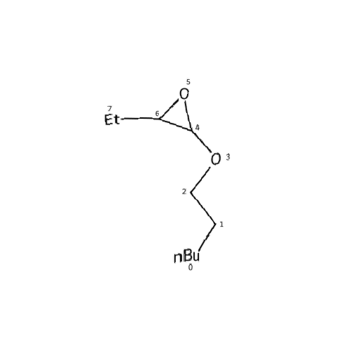 CCCCCCOC1OC1CC